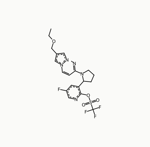 CCOCc1cnn(/C=C\C(=N/C)N2CCCC2c2cc(F)cnc2OS(=O)(=O)C(F)(F)F)c1